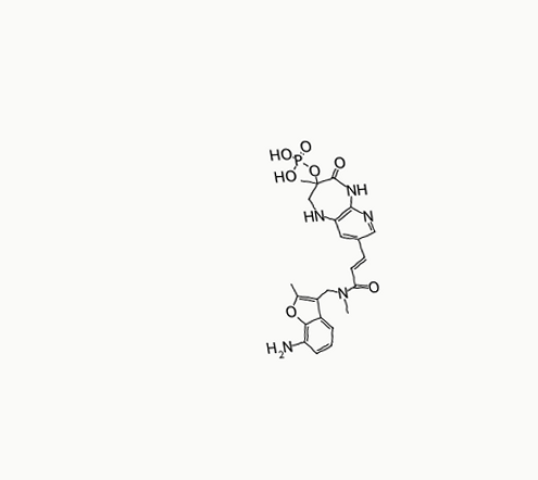 Cc1oc2c(N)cccc2c1CN(C)C(=O)C=Cc1cnc2c(c1)NCC(C)(OP(=O)(O)O)C(=O)N2